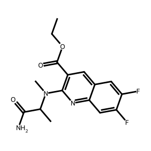 CCOC(=O)c1cc2cc(F)c(F)cc2nc1N(C)C(C)C(N)=O